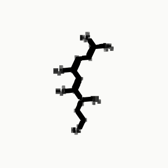 CCCN(N)/C(C)=C/C(N)=C\C=C(/C)N